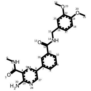 CNC(=O)c1nc(-c2cccc(C(=O)NCc3ccc(OC)c(OC)c3)c2)cnc1N